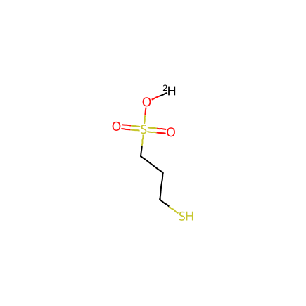 [2H]OS(=O)(=O)CCCS